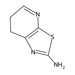 Nc1nc2c(s1)N=CCC2